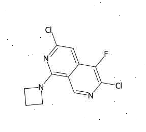 Fc1c(Cl)ncc2c(N3CCC3)nc(Cl)cc12